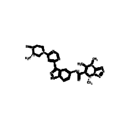 CCN1CCN(c2cc(-c3n[nH]c4ccc(NC(=O)C5=C(C)N(C)c6nnnn6[C@@H]5C)cc34)ncn2)C[C@@H]1C